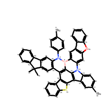 CC(C)(C)c1ccc(N2B3c4cc5c(cc4-n4c6ccc(C(C)(C)C)cc6c6c7sc8ccccc8c7c(c3c64)-c3cc4c(cc32)-c2ccccc2C4(C)C)oc2ccccc25)cc1